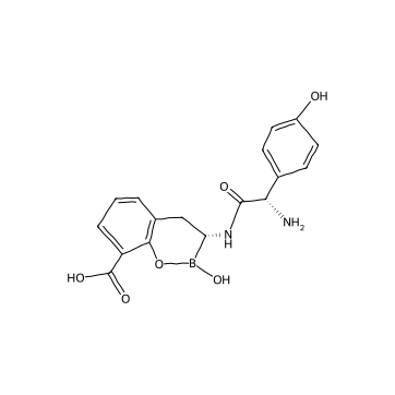 N[C@H](C(=O)N[C@H]1Cc2cccc(C(=O)O)c2OB1O)c1ccc(O)cc1